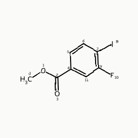 COC(=O)c1ccc(I)c(F)c1